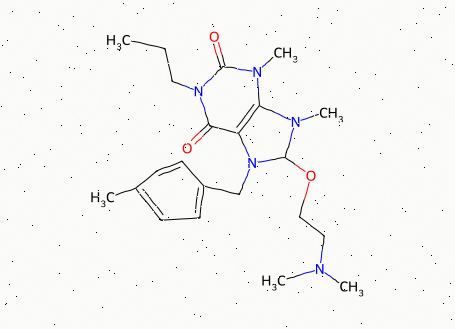 CCCn1c(=O)c2c(n(C)c1=O)N(C)C(OCCN(C)C)N2Cc1ccc(C)cc1